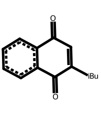 CCC(C)C1=CC(=O)c2ccccc2C1=O